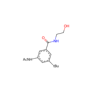 CC(=O)Nc1cc(C(=O)NCCO)cc(C(C)(C)C)c1